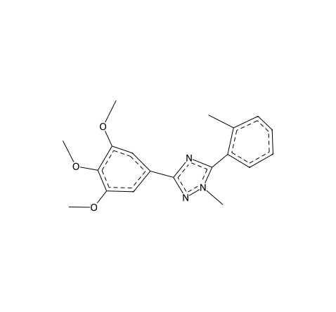 COc1cc(-c2nc(-c3ccccc3C)n(C)n2)cc(OC)c1OC